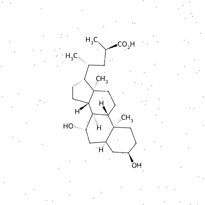 C[C@H](C[C@@H](C)[C@H]1CC[C@H]2[C@@H]3[C@@H](O)C[C@@H]4C[C@H](O)CC[C@]4(C)[C@H]3CC[C@]12C)C(=O)O